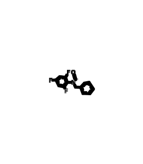 O=[C]N(Cc1ccccc1)c1c(F)cc(F)cc1F